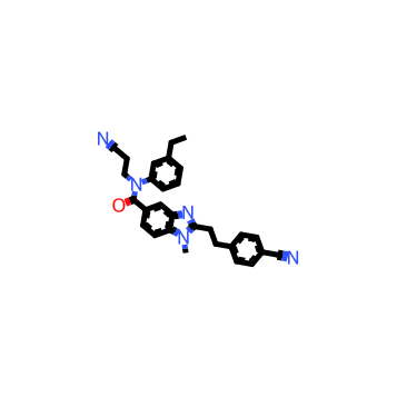 CCc1cccc(N(CCC#N)C(=O)c2ccc3c(c2)nc(CCc2ccc(C#N)cc2)n3C)c1